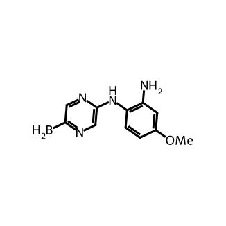 Bc1cnc(Nc2ccc(OC)cc2N)cn1